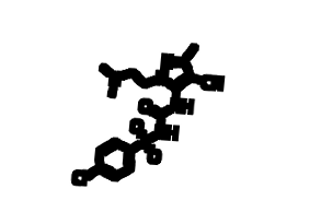 Cc1nn(CCN(C)C)c(NC(=O)NS(=O)(=O)c2ccc(Cl)cc2)c1C#N